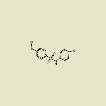 CCOc1ccc(S(=O)(=O)Nc2[c]cc(Cl)cc2)cc1